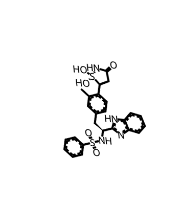 Cc1cc(C[C@H](NS(=O)(=O)c2ccccc2)c2nc3ccccc3[nH]2)ccc1C1CC(=O)NS1(O)O